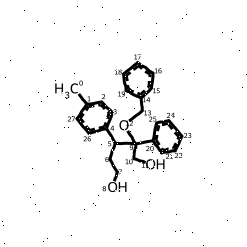 Cc1ccc(C(CCO)C(CO)(OCc2ccccc2)c2ccccc2)cc1